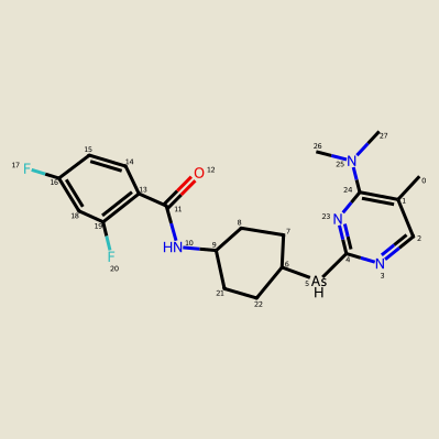 Cc1cnc([AsH]C2CCC(NC(=O)c3ccc(F)cc3F)CC2)nc1N(C)C